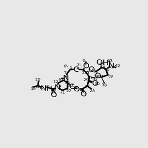 CO[C@]1(C)C[C@@H](C)CN(C)C2(CCN(C(=O)CNC(C)C)CC2)COC(=O)C(C)C(=O)[C@H](C)[C@H]1O[C@@H]1O[C@H](C)C[C@H](N(C)C)[C@H]1O